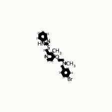 Cc1c(OCCN(C)Cc2ccc(Br)cc2)ccnc1CSc1nc2ccccc2[nH]1